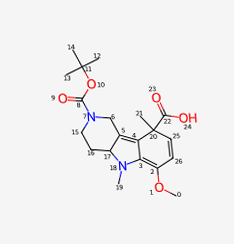 COC1=C2C(=C3CN(C(=O)OC(C)(C)C)CCC3N2C)C(C)(C(=O)O)C=C1